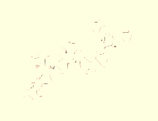 c1ccc(-c2nc(-c3ccccc3)nc(-c3ccc4c(c3)-c3cc(-n5c6ccccc6c6cc(-n7c8ccccc8c8c9oc%10ccccc%10c9ccc87)ccc65)ccc3C4)n2)cc1